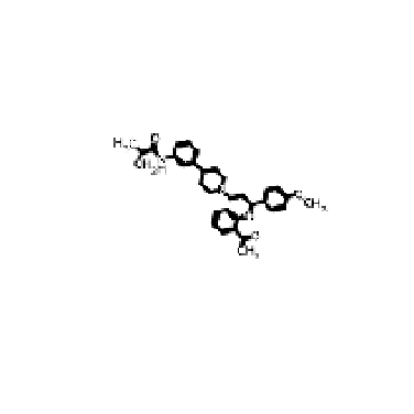 COc1ccc(C(CCN2CCC(c3cccc(NC(=O)C(C)C)c3)CC2)Oc2ccccc2C(C)=O)cc1